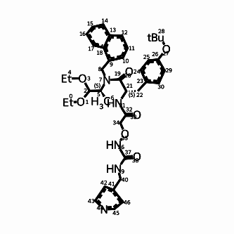 CCOC(OCC)[C@H](C)N(Cc1cccc2ccccc12)C(=O)[C@H](Cc1ccc(OC(C)(C)C)cc1)NC(=O)CONC(=O)NCc1ccncc1